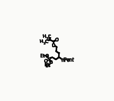 C=C(C)C(=O)OCCCC(CCCCC)CC[Si](OCC)(OCC)OCC